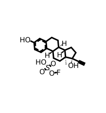 C#C[C@]1(O)CC[C@H]2[C@@H]3CCc4cc(O)ccc4[C@H]3CC[C@@]21C.O=S(=O)(O)OF